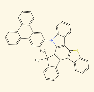 CC1(C)c2ccccc2-c2c1c1c(c3ccccc3n1-c1ccc3c4ccccc4c4ccccc4c3c1)c1sc3ccccc3c21